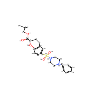 CC(C)COC(=O)C1CCc2cc(S(=O)(=O)N3CCN(c4ccccc4)CC3)ccc2O1